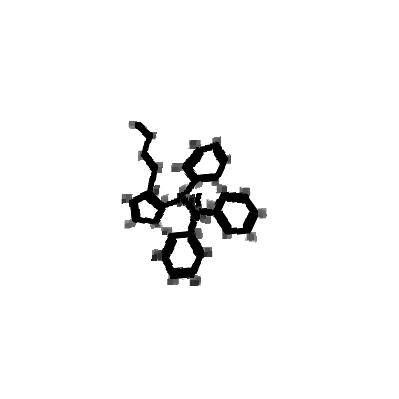 CCCCC1=C(N(c2ccccc2)[SiH](c2ccccc2)c2ccccc2)CC=C1